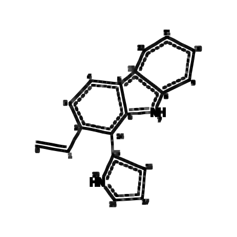 C=Cc1ccc2c([nH]c3ccccc32)c1-c1ccc[nH]1